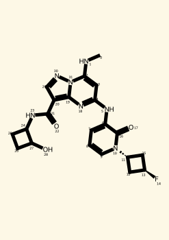 CNc1cc(Nc2cccn([C@H]3C[C@H](F)C3)c2=O)nc2c(C(=O)NC3CCC3O)cnn12